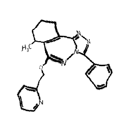 CC1CCCc2c1c(OCc1ccccn1)nn1c(-c3ccccc3)nnc21